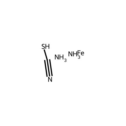 N.N.N#CS.[Fe]